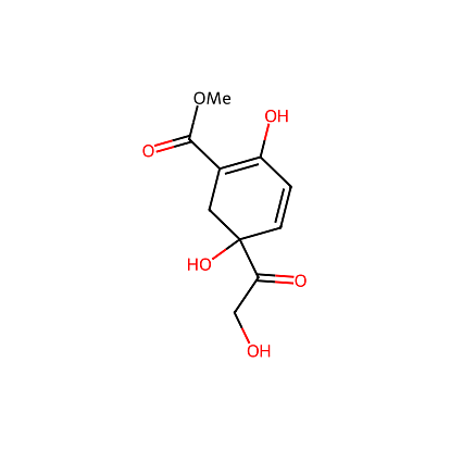 COC(=O)C1=C(O)C=CC(O)(C(=O)CO)C1